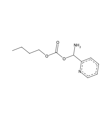 CCCCOC(=O)OC(N)c1ccccn1